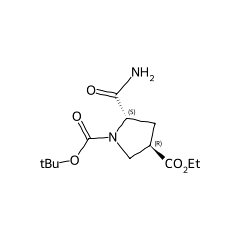 CCOC(=O)[C@@H]1C[C@@H](C(N)=O)N(C(=O)OC(C)(C)C)C1